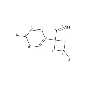 CC1C=CC(C2(C=N)CN(C)C2)=CC1